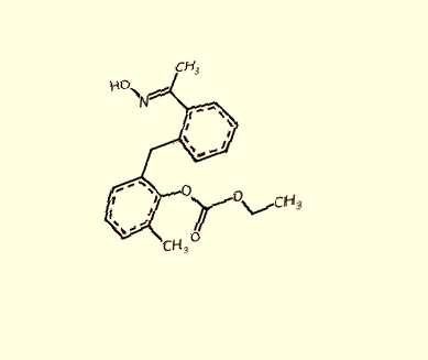 CCOC(=O)Oc1c(C)cccc1Cc1ccccc1C(C)=NO